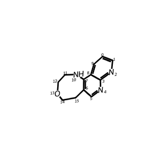 c1cnc2ncc3c(c2c1)NCCOCC3